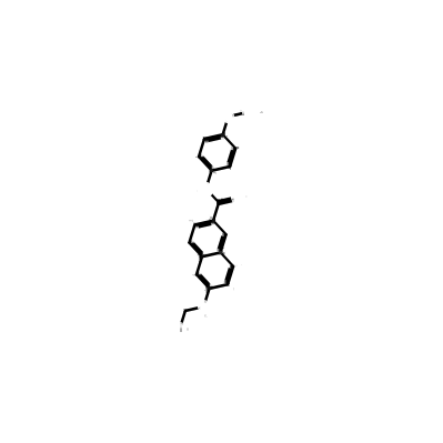 CCCCCCCCCCOc1ccc(OC(=O)c2ccc3cc(OCC(C)CC)ccc3c2)cc1